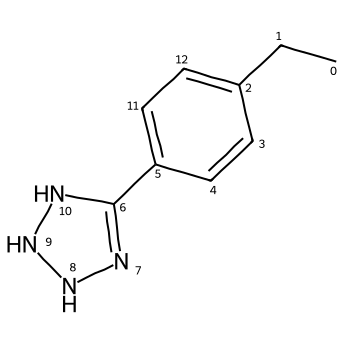 CCc1ccc(C2=NNNN2)cc1